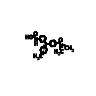 CCN(CC)C(=O)c1ccc(C(c2cccc(NC(=O)O)c2)N2CCN(C)CC2)cc1